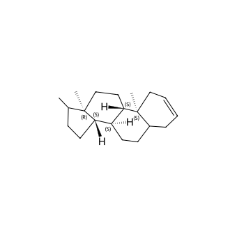 CC1CC[C@H]2[C@@H]3CCC4CC=CC[C@]4(C)[C@H]3CC[C@]12C